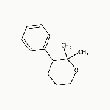 CC1(C)OCCCC1c1ccccc1